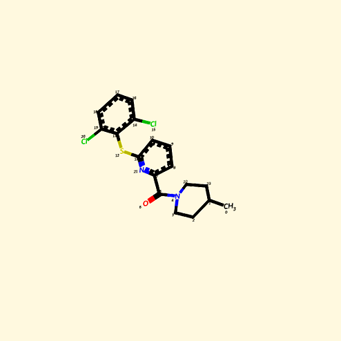 CC1CCN(C(=O)c2cccc(Sc3c(Cl)cccc3Cl)n2)CC1